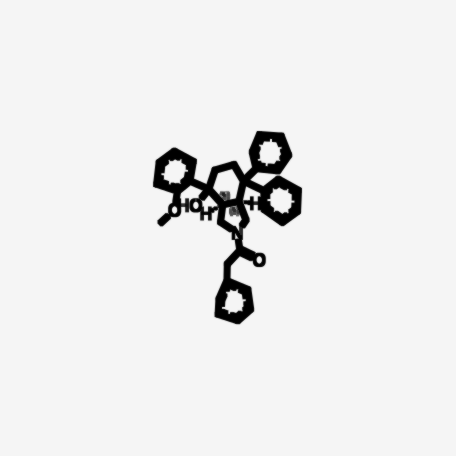 COc1ccccc1C1(O)CCC(c2ccccc2)(c2ccccc2)[C@H]2CN(C(=O)Cc3ccccc3)C[C@H]21